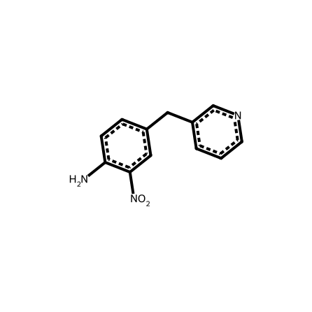 Nc1ccc(Cc2cccnc2)cc1[N+](=O)[O-]